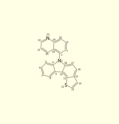 c1cc(-n2c3ccccc3c3c4sccc4ccc32)c2cccnc2c1